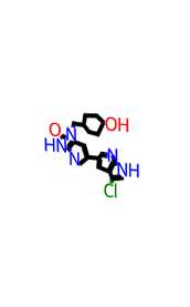 O=c1[nH]c2ncc(-c3cnc4[nH]cc(Cl)c4c3)cc2n1CC1CCC(O)CC1